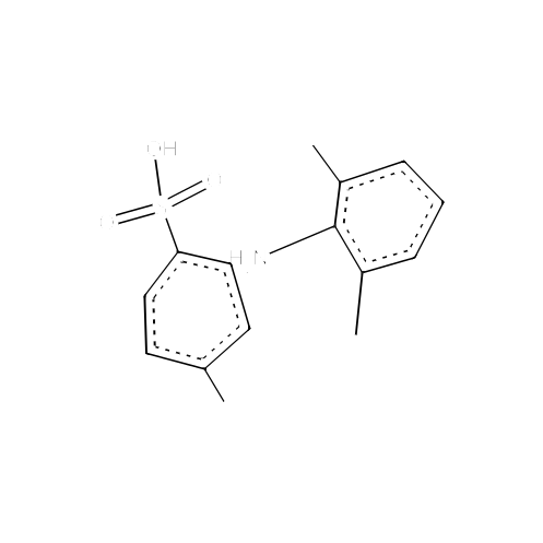 Cc1ccc(S(=O)(=O)O)cc1.Cc1cccc(C)c1N